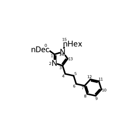 CCCCCCCCCCc1nc(CCCc2ccccc2)cn1CCCCCC